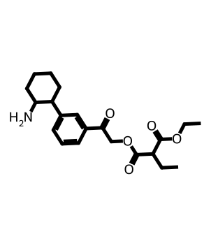 CCOC(=O)C(CC)C(=O)OCC(=O)c1cccc(C2CCCCC2N)c1